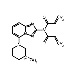 C=CC(=O)N(C(=O)C=C)c1nc2cccc(N3CCC[C@@H](N)C3)n2n1